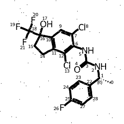 C[C@@H](NC(=O)Nc1c(Cl)cc2c(c1Cl)CCC2(O)C(F)(F)F)c1ccc(F)cc1